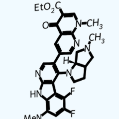 CCOC(=O)c1cn(C)c2ncc(-c3cnc4[nH]c5c(NC)cc(F)c(F)c5c4c3N3CCC4CN(C)C[C@H]43)cc2c1=O